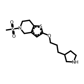 CS(=O)(=O)N1CCc2sc(OCCCC3CCNC3)cc2C1